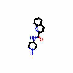 O=C(NC1CCNCC1)c1ccc2ccccc2n1